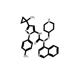 Cc1ccc(-n2nc(C3(C)CC3)cc2NC(=O)N(OC2CCNCC2)c2cncc3ccccc23)cc1